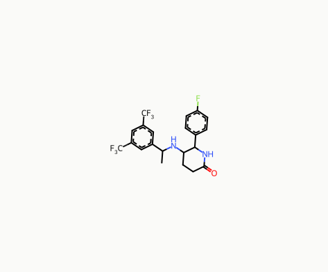 CC(NC1CCC(=O)NC1c1ccc(F)cc1)c1cc(C(F)(F)F)cc(C(F)(F)F)c1